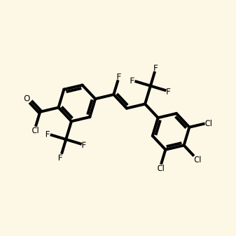 O=C(Cl)c1ccc(C(F)=CC(c2cc(Cl)c(Cl)c(Cl)c2)C(F)(F)F)cc1C(F)(F)F